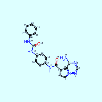 Nc1ncnn2ccc(C(=O)Nc3ccc(NC(=O)Nc4ccccc4)cc3)c12